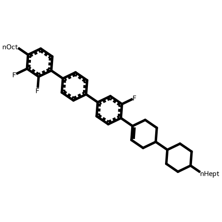 CCCCCCCCc1ccc(-c2ccc(-c3ccc(C4=CCC(C5CCC(CCCCCCC)CC5)CC4)c(F)c3)cc2)c(F)c1F